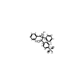 C[N@]1C(c2ccccc2)C1(c1ccccc1)C(O)c1ccc(S(C)(=O)=O)cc1